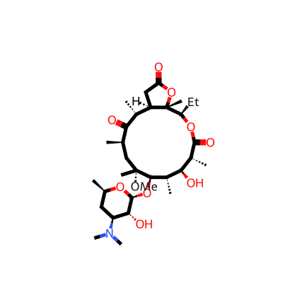 CC[C@H]1OC(=O)[C@H](C)[C@@H](O)[C@H](C)[C@@H](O[C@@H]2O[C@H](C)C[C@H](N(C)C)[C@H]2O)[C@](C)(OC)C[C@@H](C)C(=O)[C@H](C)[C@H]2CC(=O)O[C@@]21C